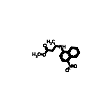 COC(=O)C[C@H](C)Nc1ccc([N+](=O)[O-])c2ccccc12